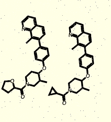 Cc1c(-c2ccc(OC3CCN(C(=O)C4CC4)CC3C)cc2)ccc2cccnc12.Cc1c(-c2ccc(OC3CCN(C(=O)C4CCCO4)CC3C)cc2)ccc2cccnc12